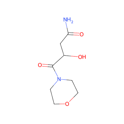 NC(=O)CC(O)C(=O)N1CCOCC1